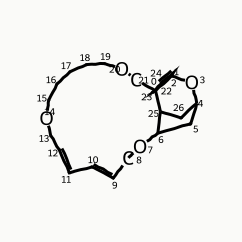 C1=CC2OC3CC4OC/C=C/C=C/COCCCCCOCC2(CC1)C4C3